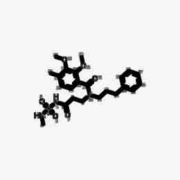 CNS(=O)(=O)NC(=O)CCN(CCCc1ccccc1)C(=O)c1ccc(C)c(OC)c1OC